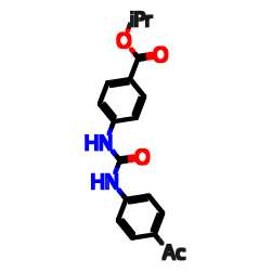 CC(=O)c1ccc(NC(=O)Nc2ccc(C(=O)OC(C)C)cc2)cc1